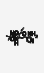 CC[C@H]1O[C@@H](c2ccncc2N)C[C@@H](NC(=O)OC(C)(C)C)[C@@H]1O